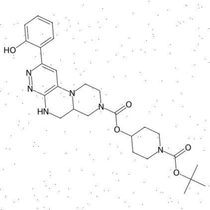 CC(C)(C)OC(=O)N1CCC(OC(=O)N2CCN3c4cc(-c5ccccc5O)nnc4NCC3C2)CC1